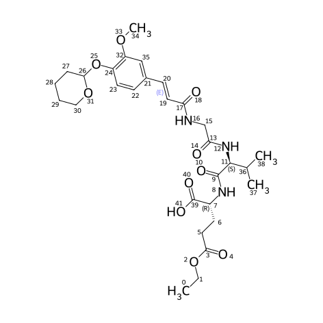 CCOC(=O)CC[C@@H](NC(=O)[C@@H](NC(=O)CNC(=O)/C=C/c1ccc(OC2CCCCO2)c(OC)c1)C(C)C)C(=O)O